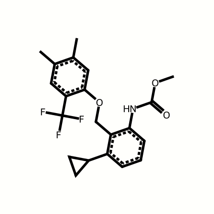 COC(=O)Nc1cccc(C2CC2)c1COc1cc(C)c(C)cc1C(F)(F)F